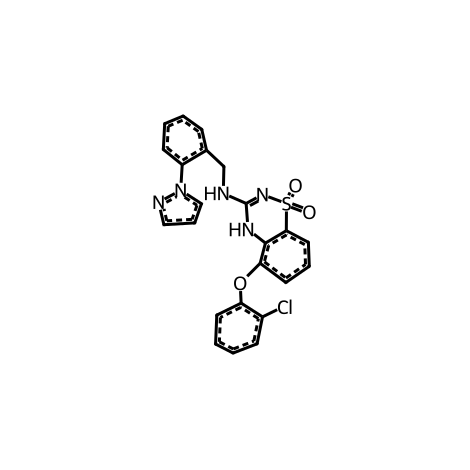 O=S1(=O)N=C(NCc2ccccc2-n2cccn2)Nc2c(Oc3ccccc3Cl)cccc21